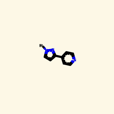 [CH2]Cn1ccc(-c2ccncc2)n1